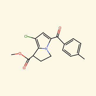 COC(=O)C1CCn2c(C(=O)c3ccc(C)cc3)cc(Cl)c21